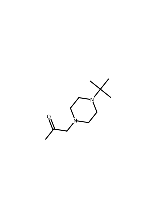 CC(=O)CN1CCN(C(C)(C)C)CC1